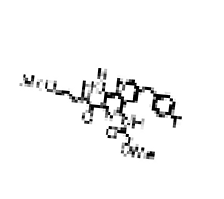 COCCCNC(=O)c1nc(NC(=O)COC)c2cc(Cc3ccc(F)cc3)cnc2c1O